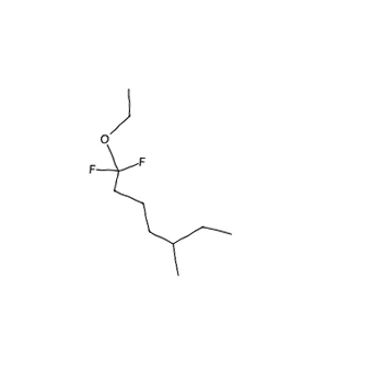 CCOC(F)(F)CCCC(C)CC